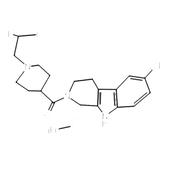 CC(C)C[C@H]1c2[nH]c3ccc(Cl)cc3c2CCN1C(=O)C1CCN(CC(F)F)CC1